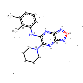 Cc1cccc(Nc2nc3nonc3nc2N2CCCCC2)c1C